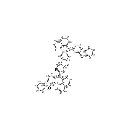 c1ccc2c(N(c3ccc4c(c3)oc3ccccc34)c3ccc4c(c3)sc3cc(N(c5ccc6c(c5)oc5ccccc56)c5cccc6ccccc56)nnc34)cccc2c1